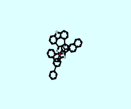 c1ccc(-c2ccc(C3=NC(c4ccc5ccccc5c4)NC(c4cccc5oc6cccc(-c7ccc8oc9ccc%10ccccc%10c9c8c7)c6c45)=N3)cc2)cc1